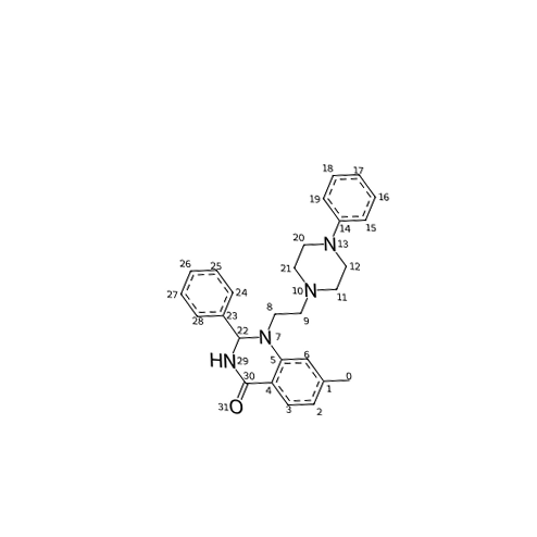 Cc1ccc2c(c1)N(CCN1CCN(c3ccccc3)CC1)C(c1ccccc1)NC2=O